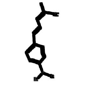 [C-]#[N+]/C(C)=C\C=C\c1ccc(N(CC)CC)cc1